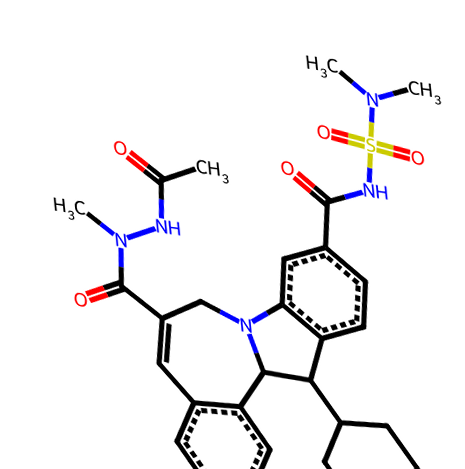 CC(=O)NN(C)C(=O)C1=Cc2ccccc2C2C(C3CCCCC3)c3ccc(C(=O)NS(=O)(=O)N(C)C)cc3N2C1